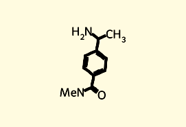 CNC(=O)c1ccc(C(C)N)cc1